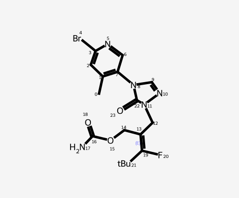 Cc1cc(Br)ncc1-n1cnn(C/C(COC(N)=O)=C(\F)C(C)(C)C)c1=O